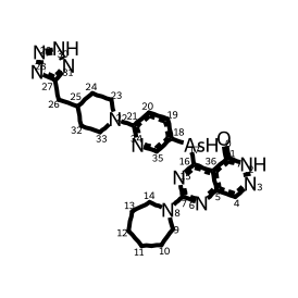 O=c1[nH]ncc2nc(N3CCCCCC3)nc([AsH]c3ccc(N4CCC(Cc5nn[nH]n5)CC4)nc3)c12